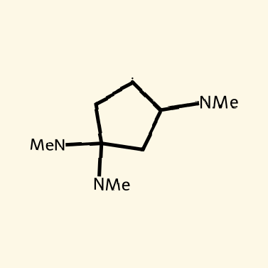 CNC1[CH]CC(NC)(NC)C1